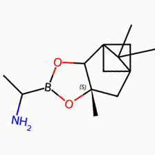 CC(N)B1OC2C34CC(C3)(C[C@]2(C)O1)C4(C)C